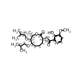 COc1ccnc(C(=O)N[C@H]2CCC[C@H](OCC(C)C)[C@@H](OCC(C)C)[C@H](C)OC2=O)c1O